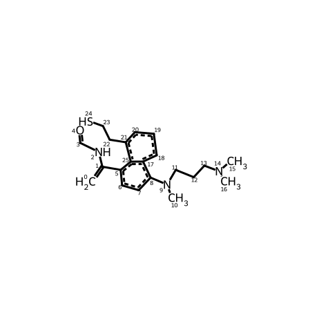 C=C(NC=O)c1ccc(N(C)CCCN(C)C)c2cccc(CCS)c12